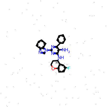 Nc1c(N[C@@H]2CCOc3ccc(F)cc32)nc(-n2cnc3ccccc32)nc1-c1ccccc1